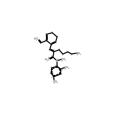 C=CC1=CCCC=C1/C=C(\CCCCN)C(=C)N(C)c1ccc(C)cc1C